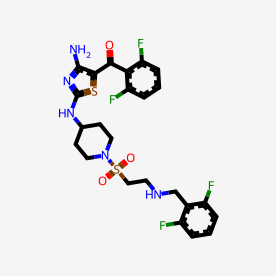 Nc1nc(NC2CCN(S(=O)(=O)CCNCc3c(F)cccc3F)CC2)sc1C(=O)c1c(F)cccc1F